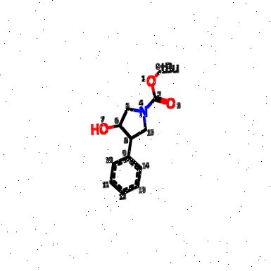 CC(C)(C)OC(=O)N1CC(O)C(c2ccccc2)C1